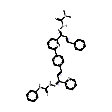 CN(C)C(=S)N/N=C(\C=C\c1ccccc1)c1cccc(-c2ccc(/C=C/C(=N\NC(=S)Nc3ccccc3)c3ccccn3)cc2)n1